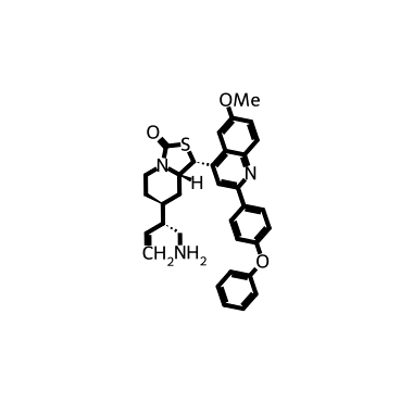 C=C[C@@H](CN)[C@H]1CCN2C(=O)S[C@H](c3cc(-c4ccc(Oc5ccccc5)cc4)nc4ccc(OC)cc34)[C@@H]2C1